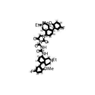 CCN1CCc2c(-c3cc(F)ccc3OC)ccc(NC(=O)NC(=O)N3C(=O)CN(c4ccc(-c5cc(F)ccc5OC)c5c4CN(CC)CC5)C3=O)c2C1